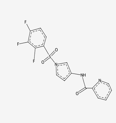 O=C(Nc1ccn(S(=O)(=O)c2ccc(F)c(F)c2F)c1)c1ccccn1